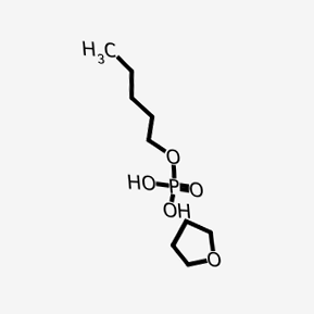 C1CCOC1.CCCCCOP(=O)(O)O